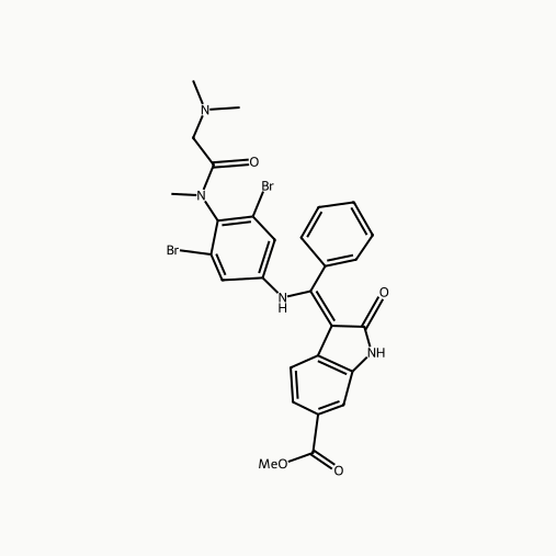 COC(=O)c1ccc2c(c1)NC(=O)/C2=C(/Nc1cc(Br)c(N(C)C(=O)CN(C)C)c(Br)c1)c1ccccc1